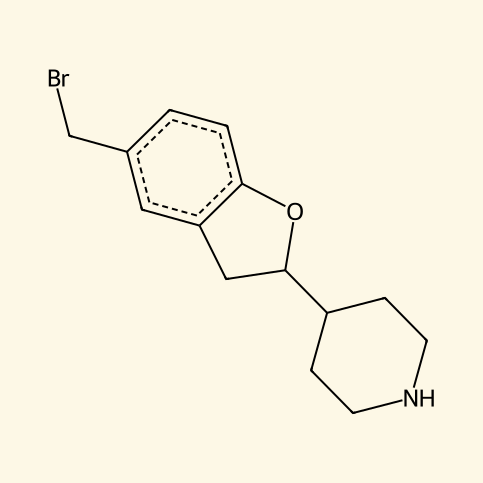 BrCc1ccc2c(c1)CC(C1CCNCC1)O2